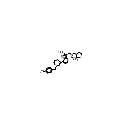 Cc1nn2c(C3CCCN(Cc4ccc(Cl)cc4)C3)ccnc2c1CN(CC1CCOCC1)CC(F)(F)F